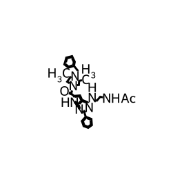 CC(=O)NCCNc1nc(-c2ccccc2)nc2[nH]c(C(=O)N3CC(C)N(Cc4ccccc4)C(C)C3)cc12